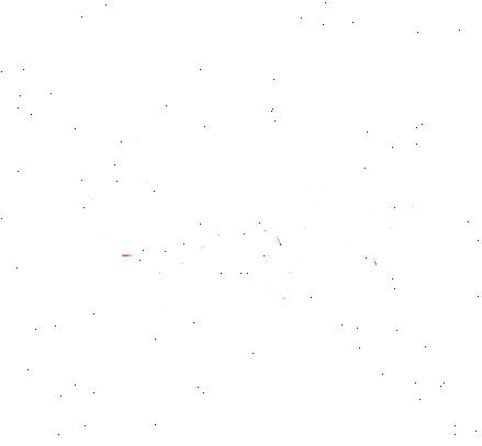 CC(=O)O[C@@H](C1C[C@@H](C)[C@H]2C(O1)[C@H](O)[C@@]1(C)C3CC[C@H]4C(C)(C)[C@@H](O[C@H]5CN(Cc6ncc[nH]6)CCO5)CC[C@@]45CC35CC[C@]21C)C(C)(C)O